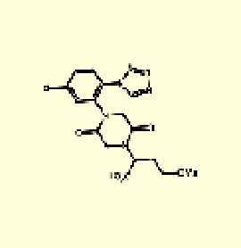 COCCC(C(=O)O)N1CC(=O)N(c2cc(Cl)ccc2-n2cnnn2)CC1=O